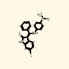 CC(=O)N(C)c1ccc(NC(=C2C(=O)Nc3cc(F)ccc32)c2ccccc2)cc1